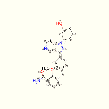 COc1c(Cc2ccc(-c3nn(C4CCCC(O)C4)c4ccncc34)cc2)cccc1C(N)=O